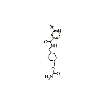 NC(=O)OCC1CCC(CNC(=O)c2ccnc(Br)c2)CC1